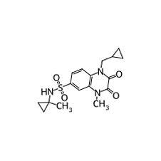 Cn1c(=O)c(=O)n(CC2CC2)c2ccc(S(=O)(=O)NC3(C)CC3)cc21